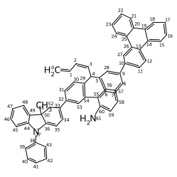 C=C/C=C\C(c1cccc(-c2ccc3c4ccccc4c4ccccc4c3c2)c1)c1ccc(C2=CC=C3N(c4ccccc4)c4ccccc4C3(C)C2)cc1-c1ccccc1N